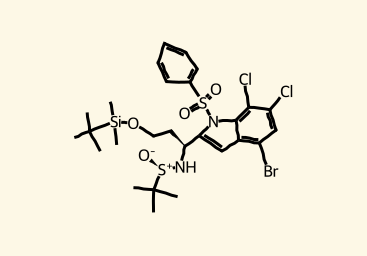 CC(C)(C)[S@@+]([O-])N[C@@H](CCO[Si](C)(C)C(C)(C)C)c1cc2c(Br)cc(Cl)c(Cl)c2n1S(=O)(=O)c1ccccc1